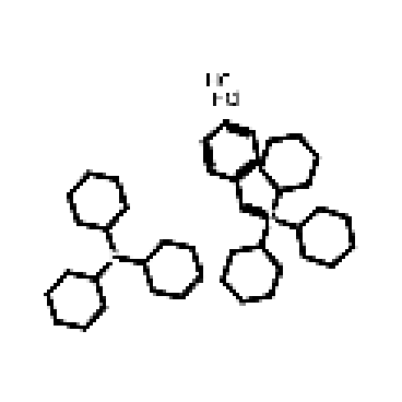 C(c1ccccc1)=P(C1CCCCC1)(C1CCCCC1)C1CCCCC1.C1CCC(P(C2CCCCC2)C2CCCCC2)CC1.Cl.Cl